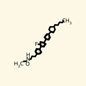 C=CC(=O)NCCCc1ccc(-c2ccc(-c3ccc(C4=CCC(CCCCC)CC4)cc3)cc2F)cc1